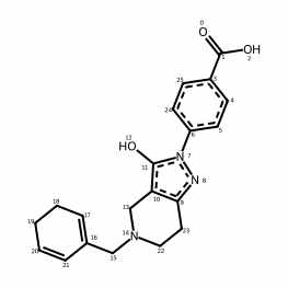 O=C(O)c1ccc(-n2nc3c(c2O)CN(CC2=CCCC=C2)CC3)cc1